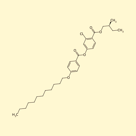 CCCCCCCCCCCCOc1ccc(C(=O)Oc2ccc(C(=O)OC[C@@H](C)CC)c(Cl)c2)cc1